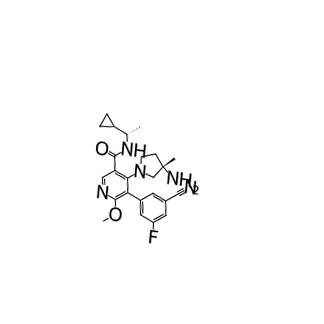 COc1ncc(C(=O)N[C@@H](C)C2CC2)c(N2CC[C@](C)(N)C2)c1-c1cc(F)cc(C#N)c1